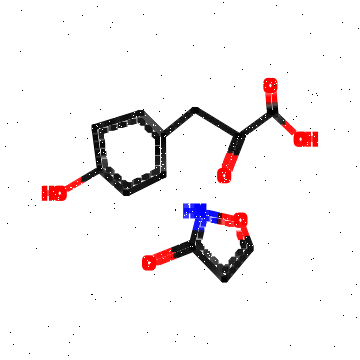 O=C(O)C(=O)Cc1ccc(O)cc1.O=c1cco[nH]1